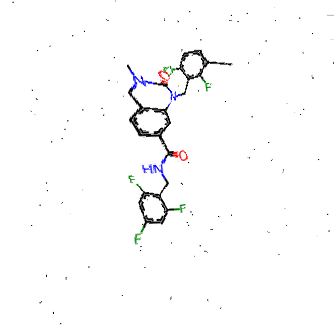 Cc1ccc(Cl)c(CN2C(=O)N(C)Cc3ccc(C(=O)NCc4c(F)cc(F)cc4F)cc32)c1F